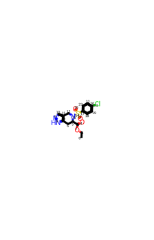 CCOC(=O)C1Cc2[nH]ncc2CN1S(=O)(=O)c1ccc(Cl)cc1